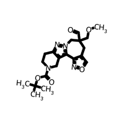 COCC1(C=O)Cc2conc2-c2c3c(nn2C1)CCN(C(=O)OC(C)(C)C)C3